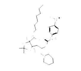 CCCCCCCO[C@H]1O[C@H]([C@@H](CN2CCCCC2)OC(=O)Nc2ccc([N+](=O)[O-])cc2)[C@@H]2OC(C)(C)O[C@H]12